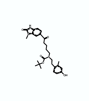 Cc1cc(O)ccc1CCN(CCCCC(=O)c1ccc2[nH]c(=O)n(C)c2c1)C(=O)OC(C)(C)C